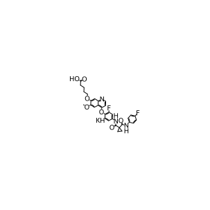 COc1cc2c(Oc3ccc(NC(=O)C4(C(=O)Nc5ccc(F)cc5)CC4)cc3F)ccnc2cc1OCCCCC(=O)O.[KH]